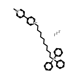 C[n+]1ccc(-c2cc[n+](CCCCCCCCCC[P+](c3ccccc3)(c3ccccc3)c3ccccc3)cc2)cc1.[I-].[I-].[I-]